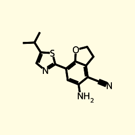 CC(C)c1cnc(-c2cc(N)c(C#N)c3c2OCC3)s1